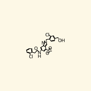 CS(=O)(=O)c1cc(NC(=O)Cc2ccccc2Cl)cc2nn(Cc3ccc(CO)cc3Cl)cc12